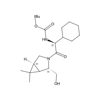 CC(C)(C)OC(=O)N[C@H](C(=O)N1C[C@H]2C([C@H]1CO)C2(C)C)C1CCCCC1